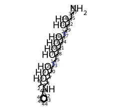 CC(C)C(CC(O)CC(O)CC(O)/C=C/CC(O)CC(O)CC(O)CC(O)/C=C/CC(O)CC(O)CCCN)NCc1ccccc1